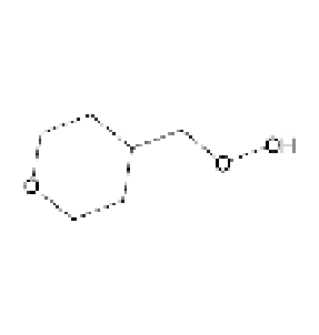 OOCC1CCOCC1